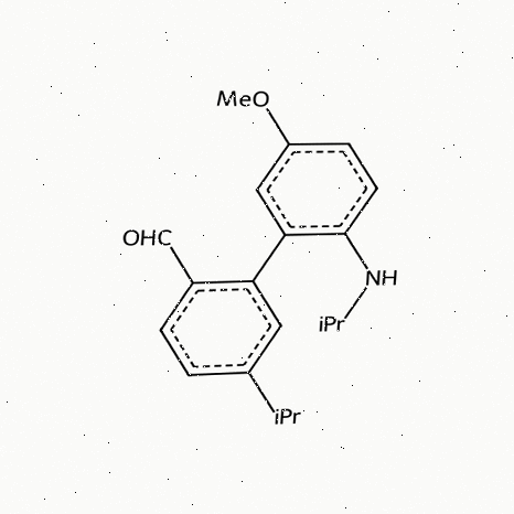 COc1ccc(NC(C)C)c(-c2cc(C(C)C)ccc2C=O)c1